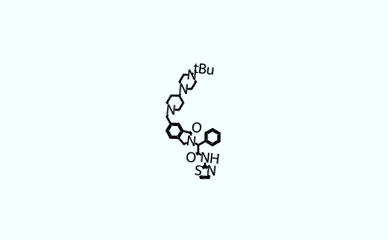 CC(C)(C)N1CCN(C2CCN(Cc3ccc4c(c3)C(=O)N(C(C(=O)Nc3nccs3)c3ccccc3)C4)CC2)CC1